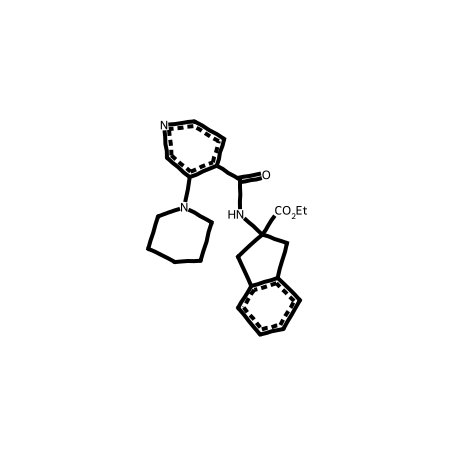 CCOC(=O)C1(NC(=O)c2ccncc2N2CCCCC2)Cc2ccccc2C1